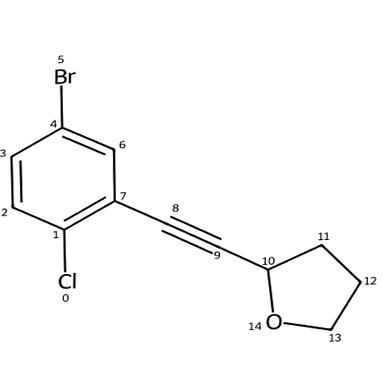 Clc1ccc(Br)cc1C#CC1CCCO1